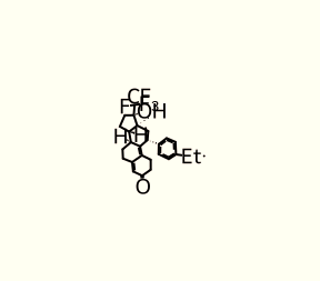 C[CH]c1ccc([C@H]2C[C@@]3(C)[C@@H](CC[C@@]3(O)C(F)(F)C(F)(F)F)[C@@H]3CCC4=CC(=O)CCC4=C32)cc1